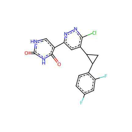 O=c1[nH]cc(-c2cc(C3CC3c3ccc(F)cc3F)c(Cl)nn2)c(=O)[nH]1